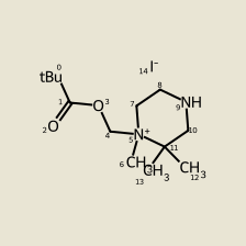 CC(C)(C)C(=O)OC[N+]1(C)CCNCC1(C)C.[I-]